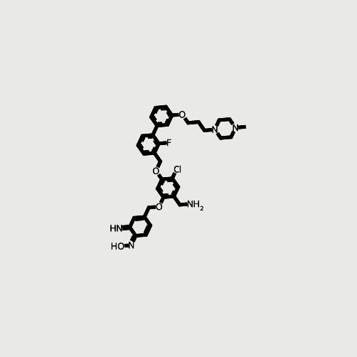 CN1CCN(CCCOc2cccc(-c3cccc(COc4cc(OCC5=CC(=N)/C(=N\O)C=C5)c(CN)cc4Cl)c3F)c2)CC1